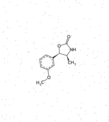 COc1cccc([C@H]2OC(=O)N[C@H]2C)c1